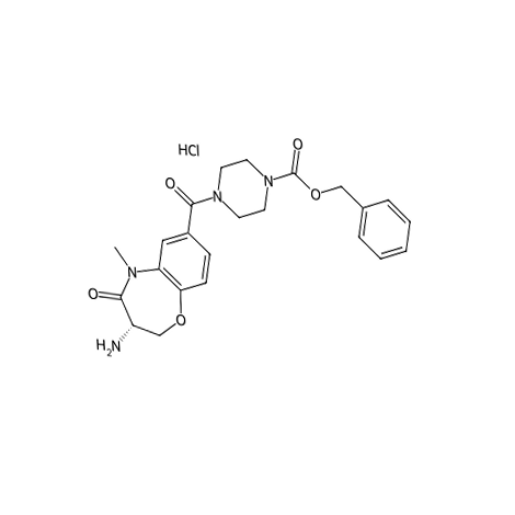 CN1C(=O)[C@@H](N)COc2ccc(C(=O)N3CCN(C(=O)OCc4ccccc4)CC3)cc21.Cl